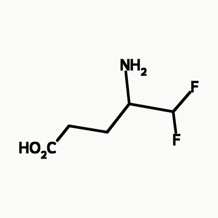 NC(CCC(=O)O)C(F)F